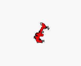 [2H]C1([2H])N(CC[C@H](CSc2ccccc2)Nc2ccc(S(=O)(=O)NC(=O)c3ccc(N4CCN(CC5=C(c6ccc(Cl)cc6)CCC(C)(C)C5)CC4)cc3)cc2S(=O)(=O)C(F)(F)F)C([2H])([2H])C([2H])([2H])N(Cc2ccc3c(c2F)C(=O)N(C2CCC(=O)NC2=O)C3=O)C1([2H])[2H]